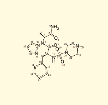 C[C@@H](C(N)=O)N(C(=O)[C@H](Cc1ccccc1)NS(=O)(=O)N1CCN(C)CC1)n1cccn1